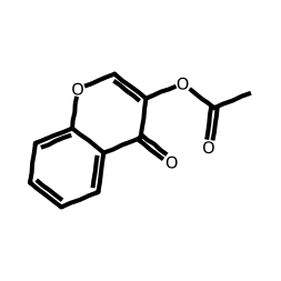 CC(=O)Oc1coc2ccccc2c1=O